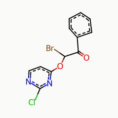 O=C(c1ccccc1)C(Br)Oc1ccnc(Cl)n1